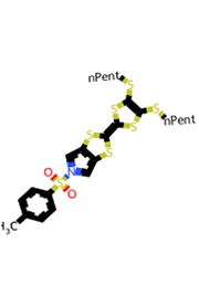 CCCCCSC1=C(SCCCCC)SC(=C2Sc3cn(S(=O)(=O)c4ccc(C)cc4)cc3S2)S1